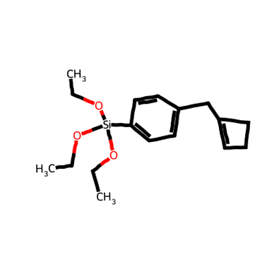 CCO[Si](OCC)(OCC)c1ccc(CC2=CCC2)cc1